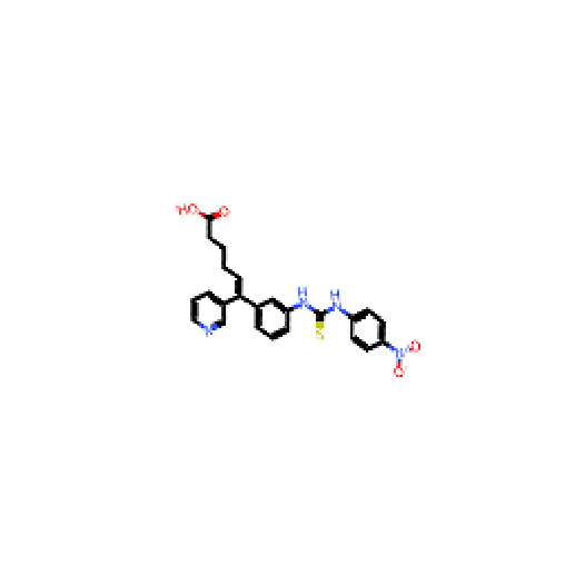 O=C(O)CCC/C=C(\c1cccnc1)c1cccc(NC(=S)Nc2ccc([N+](=O)[O-])cc2)c1